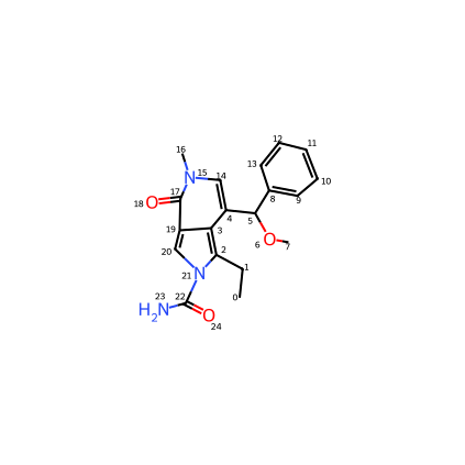 CCc1c2c(C(OC)c3ccccc3)cn(C)c(=O)c2cn1C(N)=O